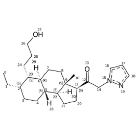 CC[C@H]1CC[C@@H]2[C@H](CC[C@]3(C)[C@@H](C(=O)Cn4cccn4)CC[C@@H]23)[C@H]1CCCO